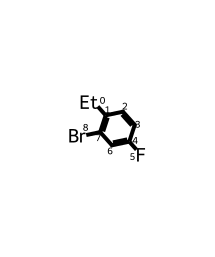 CCc1ccc(F)cc1Br